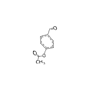 CC(=O)Oc1ccc(C=O)cc1